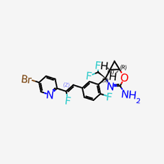 NC1=N[C@@](c2cc(/C=C(\F)c3ccc(Br)cn3)ccc2F)(C(F)F)[C@H]2C[C@H]2O1